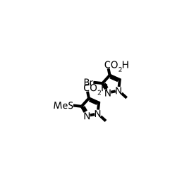 CSc1nn(C)cc1C(=O)O.Cn1cc(C(=O)O)c(Br)n1